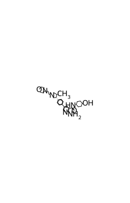 C[C@@H]1CN(CCN2CCOCC2)C[C@H]1c1ccc(-c2cnc(N)c(C(=O)N[C@H]3CC[C@H](O)CC3)c2)cc1